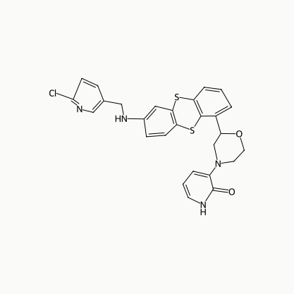 O=c1[nH]cccc1N1CCOC(c2cccc3c2Sc2ccc(NCc4ccc(Cl)nc4)cc2S3)C1